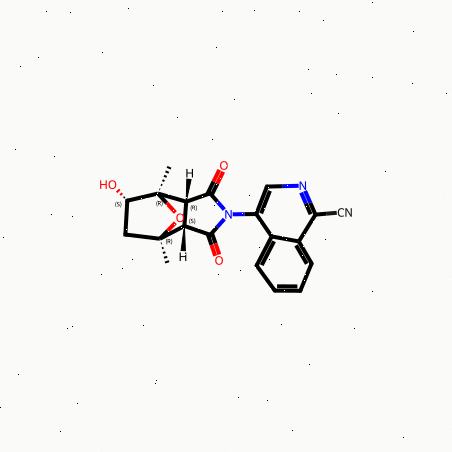 C[C@]12O[C@](C)(C[C@@H]1O)[C@H]1C(=O)N(c3cnc(C#N)c4ccccc34)C(=O)[C@H]12